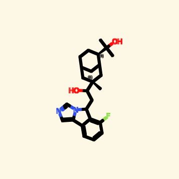 CC(C)(O)[C@@H]1CCC2CC1C[C@](C)(C(O)CC1c3c(F)cccc3-c3cncn31)C2